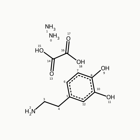 N.N.NCCc1ccc(O)c(O)c1.O=C(O)C(=O)O